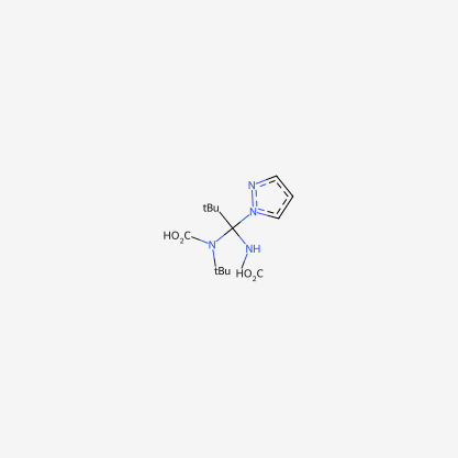 CC(C)(C)N(C(=O)O)C(NC(=O)O)(n1cccn1)C(C)(C)C